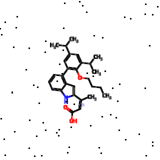 CCCCOc1c(-c2cccc3[nH]c(/C(C)=C\C(=O)O)cc23)cc(C(C)C)cc1C(C)C